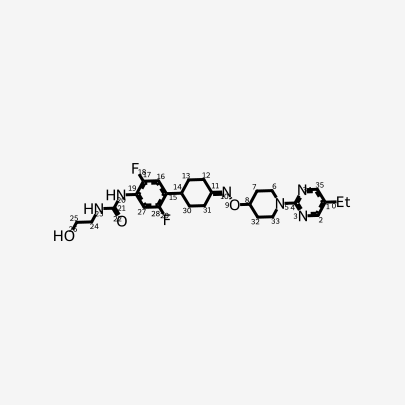 CCc1cnc(N2CCC(ON=C3CCC(c4cc(F)c(NC(=O)NCCO)cc4F)CC3)CC2)nc1